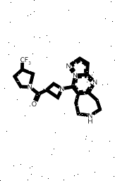 O=C(C1CN(c2c3c(nc4ccnn24)CCNCC3)C1)N1CCC(C(F)(F)F)C1